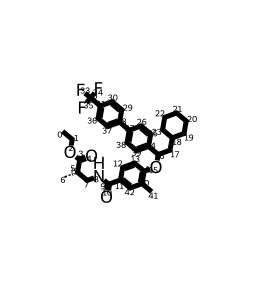 CCOC(=O)[C@@H](C)CNC(=O)c1ccc(OC(CC2CCCCC2)c2ccc(-c3ccc(C(F)(F)F)cc3)cc2)c(C)c1